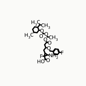 CC1CCC(C(C)C)C(OC(=O)OC(C)OC(=O)CC(CC2C(N)C2(F)C(=O)O)OCc2ccc(F)cc2)C1